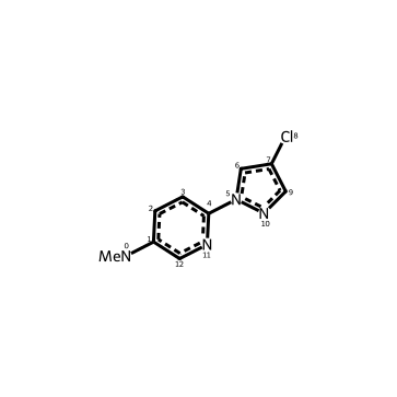 CNc1ccc(-n2cc(Cl)cn2)nc1